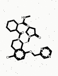 CNC(=O)[C@@H]1CCCCC1C(=O)N1CCc2c(Cl)ccc(OCc3cnccn3)c2[C@H]1CN1CCCC1=O